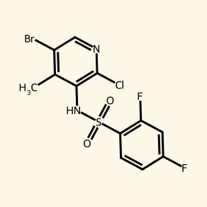 Cc1c(Br)cnc(Cl)c1NS(=O)(=O)c1ccc(F)cc1F